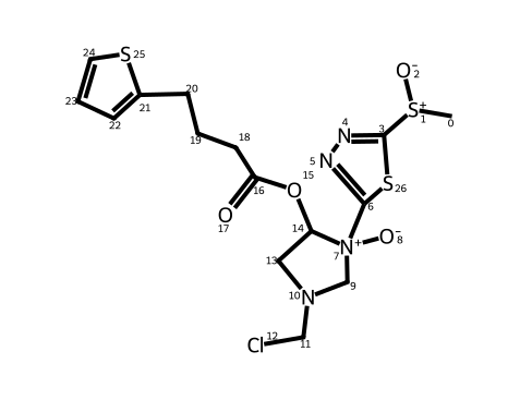 C[S+]([O-])c1nnc([N+]2([O-])CN(CCl)CC2OC(=O)CCCc2cccs2)s1